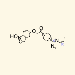 C=N/C(=N\C=C/C)N1CCN(C(=O)COc2ccc3c(c2)COB3O)CC1